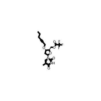 CCCC#CCO[C@H]1C[C@H](n2cc(C)c(=O)[nH]c2=O)O[C@@H]1COC(=O)C(F)(F)F